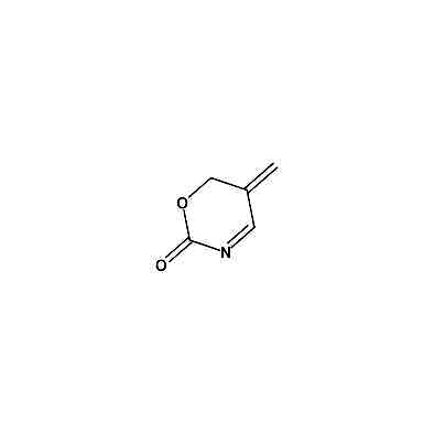 C=C1C=NC(=O)OC1